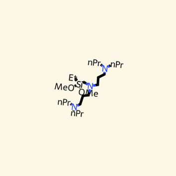 CCCN(CCC)CCCN(CCCN(CCC)CCC)C[Si](CC)(OC)OC